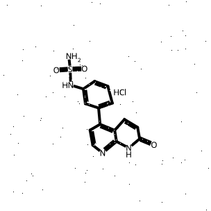 Cl.NS(=O)(=O)Nc1cccc(-c2ccnc3[nH]c(=O)ccc23)c1